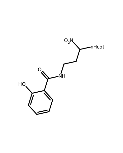 CCCCCCCC(CCNC(=O)c1ccccc1O)[N+](=O)[O-]